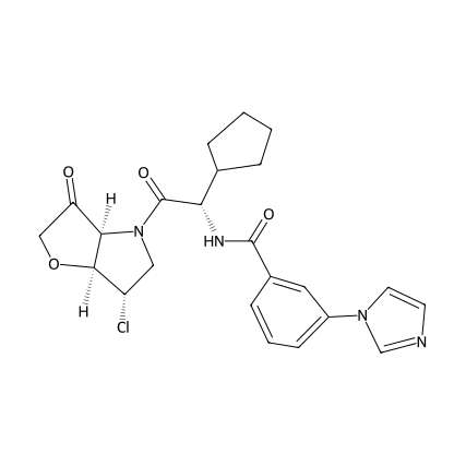 O=C(N[C@H](C(=O)N1C[C@H](Cl)[C@H]2OCC(=O)[C@H]21)C1CCCC1)c1cccc(-n2ccnc2)c1